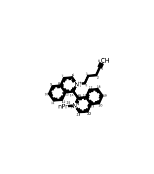 C#CCCC[n+]1ccc2ccccc2c1-c1c2ccccc2cc[n+]1CCC